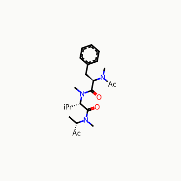 CC(=O)[C@H](C)N(C)C(=O)[C@H](C(C)C)N(C)C(=O)[C@@H](Cc1ccccc1)N(C)C(C)=O